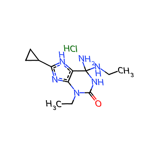 CCNC1(N)NC(=O)N(CC)c2nc(C3CC3)[nH]c21.Cl